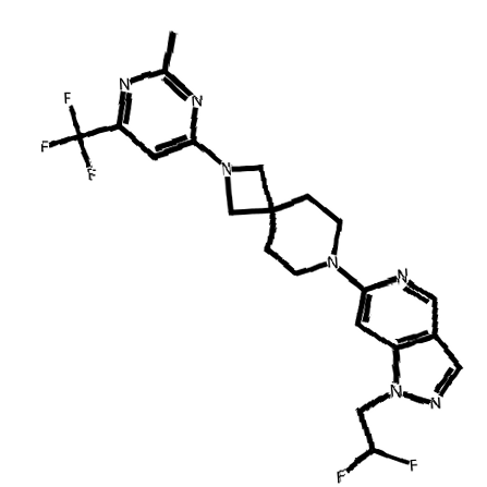 Cc1nc(N2CC3(CCN(c4cc5c(cn4)cnn5CC(F)F)CC3)C2)cc(C(F)(F)F)n1